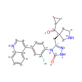 O=C(C1CC1)[C@]1(Cc2n[nH]c(=O)n2-c2ccc(-c3ccnc4ccccc34)cc2F)CCNC1